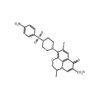 CC1COc2c(N3CCN(S(=O)(=O)c4ccc([N+](=O)[O-])cc4)CC3)c(F)cc3c(=O)c(C(=O)O)cn1c23